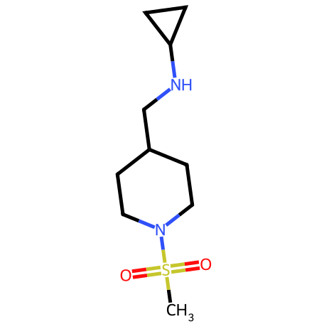 CS(=O)(=O)N1CCC(CNC2CC2)CC1